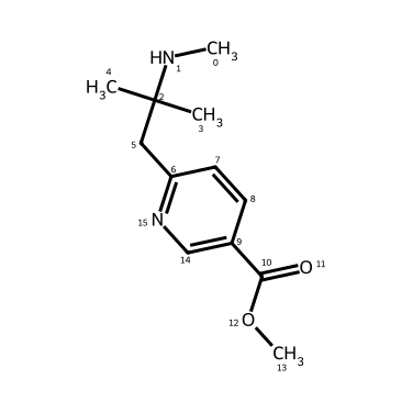 CNC(C)(C)Cc1ccc(C(=O)OC)cn1